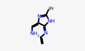 C=C/N=C1/NC(C(C)C)=N/C1=C/N